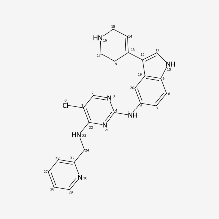 Clc1cnc(Nc2ccc3[nH]cc(C4=CCNCC4)c3c2)nc1NCc1ccccn1